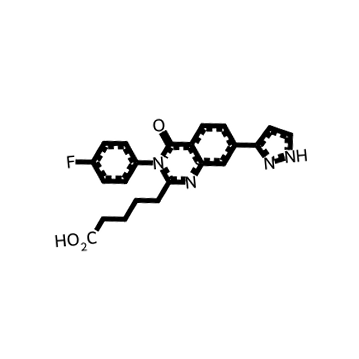 O=C(O)CCCCc1nc2cc(-c3cc[nH]n3)ccc2c(=O)n1-c1ccc(F)cc1